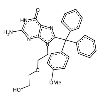 COc1ccc(C(c2ccccc2)(c2ccccc2)c2nc3c(=O)[nH]c(N)nc3n2CCOCCO)cc1